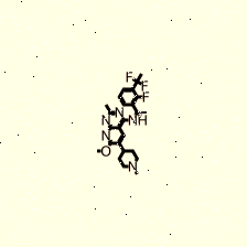 COc1nc2nc(C)nc(N[C@H](C)c3cccc(C(C)(F)F)c3F)c2cc1C1CCN(C)CC1